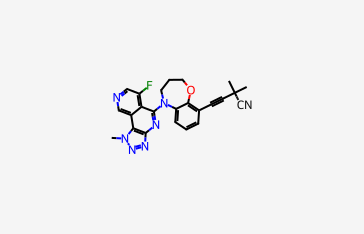 Cn1nnc2nc(N3CCCOc4c(C#CC(C)(C)C#N)cccc43)c3c(F)cncc3c21